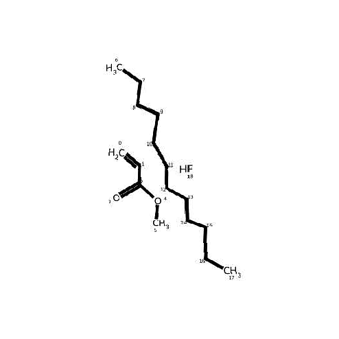 C=CC(=O)OC.CCCCCCCCCCCC.F